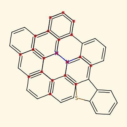 c1ccc(-c2ccccc2N(c2ccc3c(c2)sc2ccccc23)c2ccccc2-c2ccccc2N(c2ccccc2-c2ccccc2)c2ccccc2-c2ccccc2)cc1